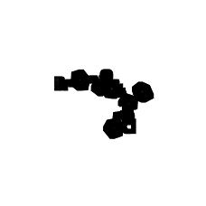 O=C(Cc1ccccc1Cl)N1C[C@H](CN2CCC3(CC2)CCN(Cc2ccc(Br)cc2)C3=O)[C@@H](c2ccccc2)C1